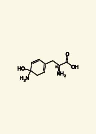 N[C@@H](CC1=CCC(N)(O)C=C1)C(=O)O